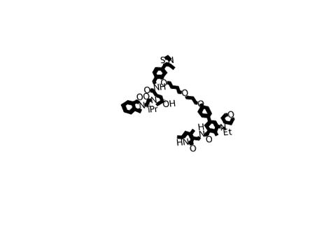 CCN(c1cc(-c2ccc(OCCCOCCCCOc3cc(-c4scnc4C)ccc3CNC(=O)C3C[C@@H](O)CN3C(=O)[C@H](C(C)C)N3Cc4ccccc4C3=O)cc2)cc(C(=O)NCc2c(C)cc(C)[nH]c2=O)c1C)C1CCOCC1